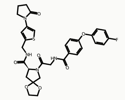 O=C(NCC(=O)N1CC2(C[C@H]1C(=O)NCc1cc(N3CCCC3=O)cs1)OCCO2)c1ccc(Oc2ccc(F)cc2)cc1